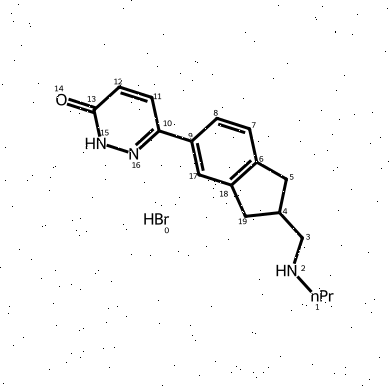 Br.CCCNCC1Cc2ccc(-c3ccc(=O)[nH]n3)cc2C1